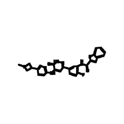 CN1CC(c2ccc(Nc3cc(-c4ccc(F)c(NC(=O)c5cc6ccccc6s5)c4)n[nH]c3=O)nc2)C1